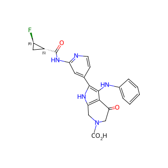 O=C1CN(C(=O)O)Cc2[nH]c(-c3ccnc(NC(=O)[C@@H]4C[C@H]4F)c3)c(Nc3ccccc3)c21